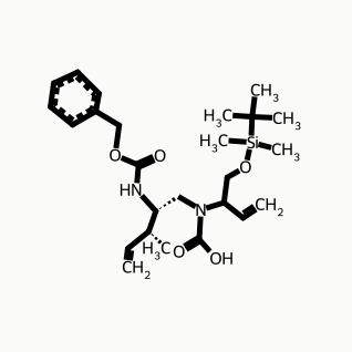 C=CC(CO[Si](C)(C)C(C)(C)C)N(C[C@@H](NC(=O)OCc1ccccc1)[C@H](C)C=C)C(=O)O